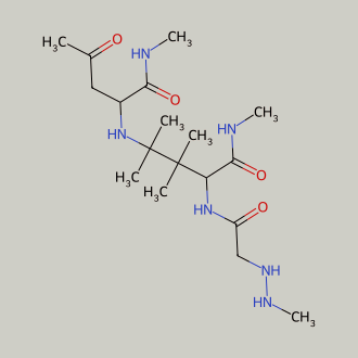 CNNCC(=O)NC(C(=O)NC)C(C)(C)C(C)(C)NC(CC(C)=O)C(=O)NC